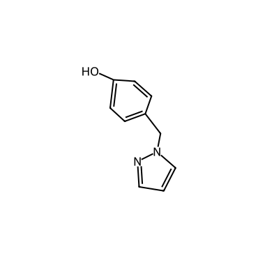 Oc1ccc(Cn2cccn2)cc1